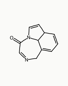 O=C1C=NCC2=CC=CC3C=CN1C23